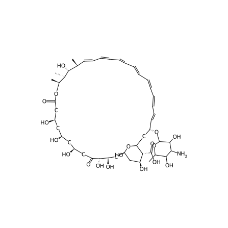 CC1OC(O[C@H]2/C=C/C=C/C=C/C=C/C=C/C=C/C=C/[C@H](C)[C@@H](O)[C@@H](C)[C@H](C)OC(=O)C[C@H](O)C[C@H](O)C[C@H](O)CC(=O)[C@@H](O)[C@H](O)C[C@]3(O)C[C@H](O)[C@@H](C(=O)O)C(C2)O3)C(O)C(N)C1O